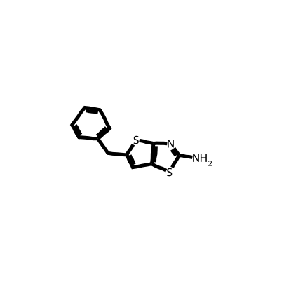 Nc1nc2sc(Cc3ccccc3)cc2s1